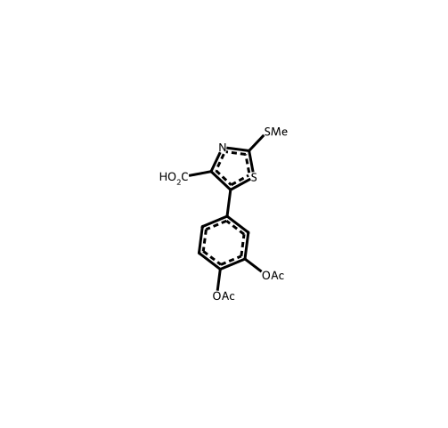 [CH2]Sc1nc(C(=O)O)c(-c2ccc(OC(C)=O)c(OC(C)=O)c2)s1